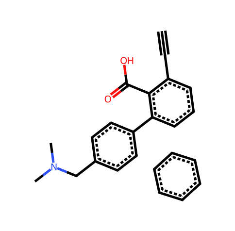 C#Cc1cccc(-c2ccc(CN(C)C)cc2)c1C(=O)O.c1ccccc1